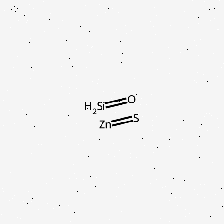 O=[SiH2].[S]=[Zn]